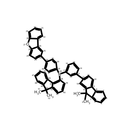 CC1(C)c2ccccc2-c2ccc(-c3cccc(N(c4ccc(-c5ccc6oc7ccccc7c6c5)cc4)c4cccc5c4-c4ccccc4C5(C)C)c3)cc21